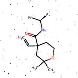 C=CC1(C(=O)N[C@H](C(C)=O)C(C)C)CCOC(C)(C)C1